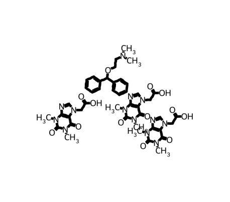 CN(C)CCOC(c1ccccc1)c1ccccc1.Cn1c(=O)c2c(ncn2CC(=O)O)n(C)c1=O.Cn1c(=O)c2c(ncn2CC(=O)O)n(C)c1=O.Cn1c(=O)c2c(ncn2CC(=O)O)n(C)c1=O